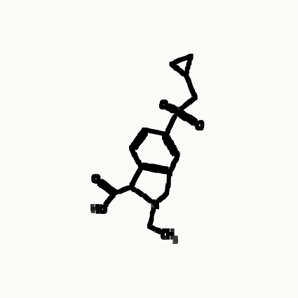 CCN1Cc2cc(S(=O)(=O)CC3CC3)ccc2C1C(=O)O